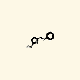 CSC1=N[C@H](COc2ccccc2)CC1